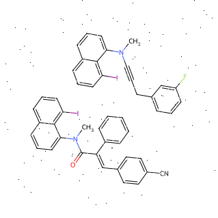 CN(C#CCc1cccc(F)c1)c1cccc2cccc(I)c12.CN(C(=O)C(=Cc1ccc(C#N)cc1)c1ccccc1)c1cccc2cccc(I)c12